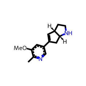 COc1cc(C2=C[C@@H]3CCN[C@@H]3C2)cnc1C